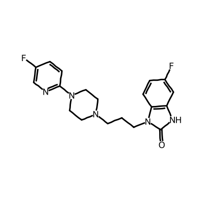 O=c1[nH]c2cc(F)ccc2n1CCCN1CCN(c2ccc(F)cn2)CC1